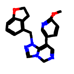 COc1ccc(C2=C3N(C=NN3Cc3cccc4c3CCO4)CN=C2)cn1